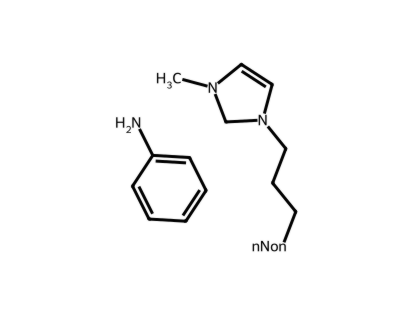 CCCCCCCCCCCCN1C=CN(C)C1.Nc1ccccc1